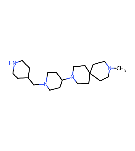 CN1CCC2(CC1)CCN(C1CCN(CC3CCNCC3)CC1)CC2